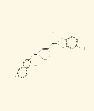 CN1/C(=C/C2=CC(=C/c3sc4cc(O)ccc4[n+]3C)/CCC2)Sc2cc(O)ccc21